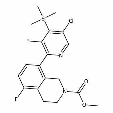 COC(=O)N1CCc2c(F)ccc(-c3ncc(Cl)c([Si](C)(C)C)c3F)c2C1